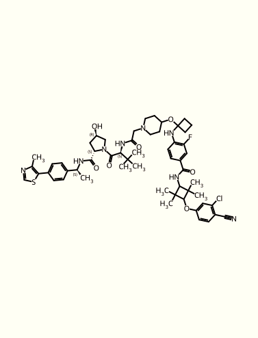 Cc1ncsc1-c1ccc([C@H](C)NC(=O)[C@@H]2C[C@@H](O)CN2C(=O)[C@@H](NC(=O)CN2CCC(OC3(Nc4ccc(C(=O)NC5C(C)(C)C(Oc6ccc(C#N)c(Cl)c6)C5(C)C)cc4F)CCC3)CC2)C(C)(C)C)cc1